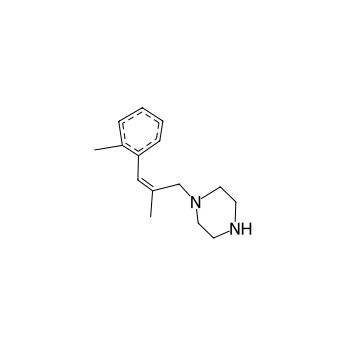 CC(=Cc1ccccc1C)CN1CCNCC1